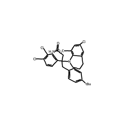 CC(C)(C)c1ccc(CC(CC(N)=O)(c2ccc(Cl)c(Cl)c2)N2CCCc3cc(Cl)cc(C(=O)O)c32)cc1